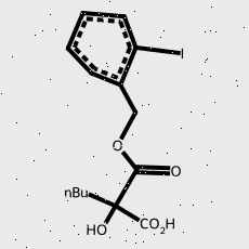 CCCCC(O)(C(=O)O)C(=O)OCc1ccccc1I